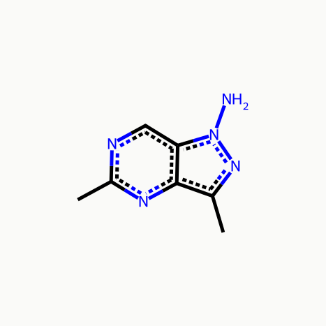 Cc1ncc2c(n1)c(C)nn2N